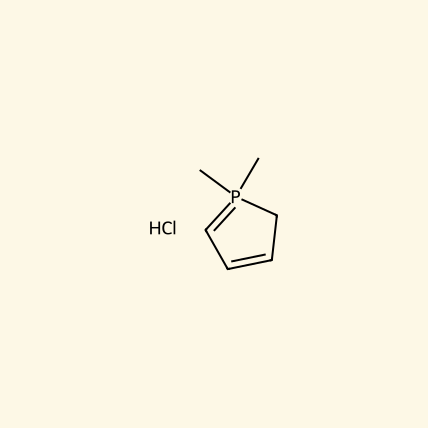 CP1(C)=CC=CC1.Cl